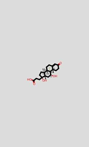 C[C@]12CCC(=O)C=C1CC[C@H]1[C@@H]3CC[C@@](O)(CCC(=O)O)[C@@]3(C)C[C@H](O)[C@@]12F